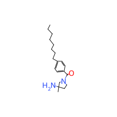 CCCCCCCCc1ccc(C(=O)N2CCC(C)(N)C2)cc1